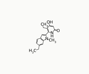 CCc1ccc2cc(-c3[nH]c(=O)cc(O)c3CC)n(C)c2c1